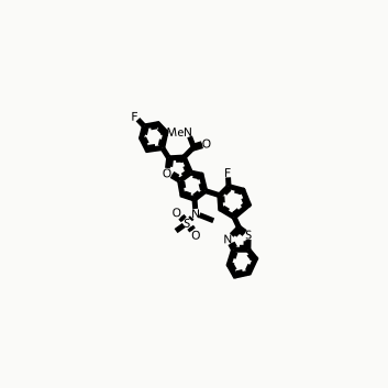 CNC(=O)c1c(-c2ccc(F)cc2)oc2cc(N(C)S(C)(=O)=O)c(-c3cc(-c4nc5ccccc5s4)ccc3F)cc12